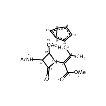 COC(=O)C(=C(C)C)N1C(=O)C(NC(C)=O)C1OC(C)=O.c1cc2cc-2c1